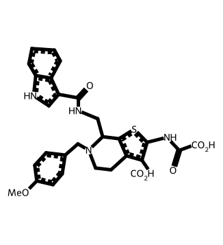 COc1ccc(CN2CCc3c(sc(NC(=O)C(=O)O)c3C(=O)O)C2CNC(=O)c2c[nH]c3ccccc23)cc1